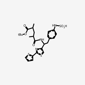 CC(CC(C)C(=O)OC(C)(C)C)C(=O)NC(Cc1ccc(NS(=O)(=O)O)cc1)c1csc(-c2cccs2)n1